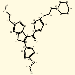 CSCOc1ccc2c(C(=O)c3ccc(OCCN4CCCCC4)cc3)c(-c3ccc(OSC)cc3)sc2c1